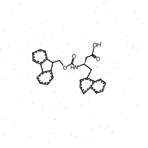 O=C(O)C[C@@H](Cc1cccc2ccccc12)NC(=O)OCC1c2ccccc2-c2ccccc21